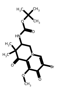 COc1c2n(cc(Br)c1=O)CC(NC(=O)OC(C)(C)C)C(C)(C)C2=O